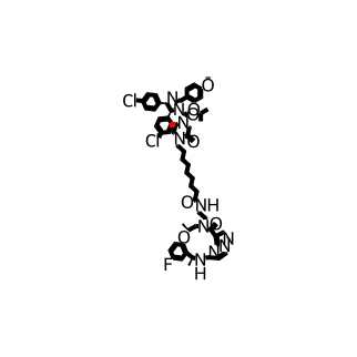 COc1ccc(C2=N[C@H](c3ccc(Cl)cc3)[C@H](c3ccc(Cl)cc3)N2C(=O)N2CCN(CCCCCCCCC(=O)NCCN3C[C@H](C)Oc4ccc(F)cc4[C@H](C)Nc4ccn5ncc(c5n4)C3=O)C(=O)C2)c(OC(C)C)c1